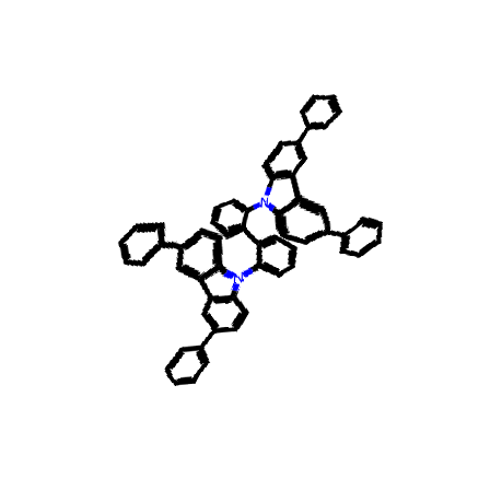 c1ccc(-c2ccc3c(c2)c2cc(-c4ccccc4)ccc2n3-c2ccccc2-c2ccccc2-n2c3ccc(-c4ccccc4)cc3c3cc(-c4ccccc4)ccc32)cc1